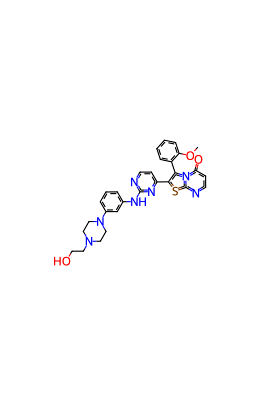 COc1ccccc1-c1c(-c2ccnc(Nc3cccc(N4CCN(CCO)CC4)c3)n2)sc2nccc(=O)n12